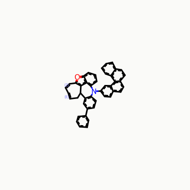 C1=C\c2oc3cccc4c3c2C(C/C=C/1)c1cc(-c2ccccc2)ccc1N4c1ccc2ccc3ccc4ccccc4c3c2c1